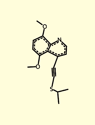 COc1ccc(OC)c2c(C#CSC(C)C)ccnc12